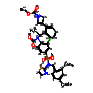 COc1ccc(CN(c2nccs2)S(=O)(=O)c2cc(F)c3c(c2)oc(=O)n3C(C)c2ccccc2C2CN(C(=O)OC(C)(C)C)C2)c(OC)c1